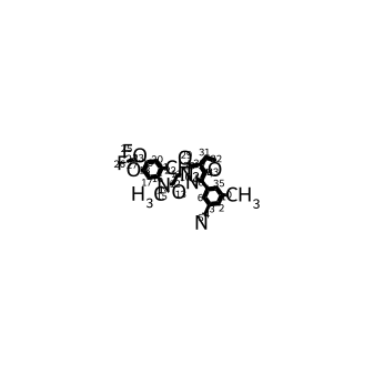 Cc1cc(C#N)cc(-c2nn(CC(=O)N(C)c3cc4c(cc3C)OC(F)(F)O4)c(=O)c3ccoc23)c1